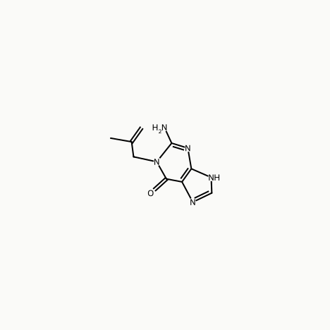 C=C(C)Cn1c(N)nc2[nH]cnc2c1=O